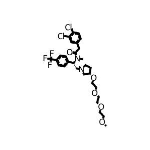 COCCOCCOCCO[C@H]1CCN(C[C@H](c2ccc(C(F)(F)F)cc2)N(C)C(=O)Cc2ccc(Cl)c(Cl)c2)C1